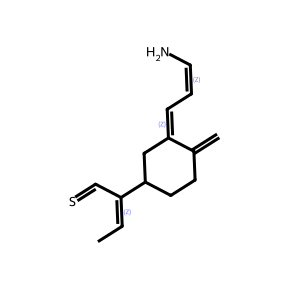 C=C1CCC(/C(C=S)=C/C)C/C1=C/C=C\N